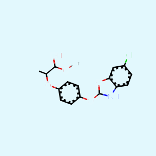 CCOC(O)C(C)Oc1ccc(OC2Nc3ccc(Cl)cc3O2)cc1